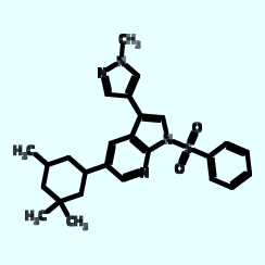 CC1CC(c2cnc3c(c2)c(-c2cnn(C)c2)cn3S(=O)(=O)c2ccccc2)CC(C)(C)C1